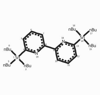 CCC[CH2][Sn]([CH2]CCC)([CH2]CCC)[c]1cccc(-c2ccc[c]([Sn]([CH2]CCC)([CH2]CCC)[CH2]CCC)n2)n1